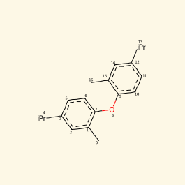 Cc1cc(C(C)C)ccc1Oc1ccc(C(C)C)cc1C